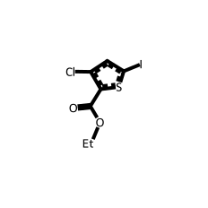 CCOC(=O)c1sc(I)cc1Cl